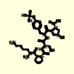 NCCCC[C@H](N)C(=O)N1CCC[C@H]1C(=O)N[C@@H](CO)C(=O)N[C@@H](Cc1ccc(OP(=O)(O)O)cc1)C(=O)N1C[C@H](O)C[C@H]1C(=O)O